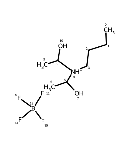 CCCC[NH+](C(C)O)C(C)O.F[B-](F)(F)F